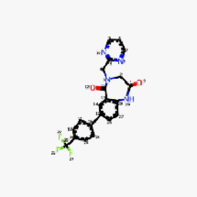 O=C1CN(Cc2ncccn2)C(=O)c2cc(-c3ccc(C(F)(F)F)cc3)ccc2N1